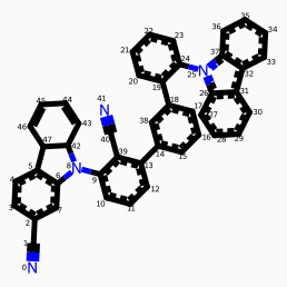 N#Cc1ccc2c(c1)N(c1cccc(-c3cccc(-c4ccccc4-n4c5ccccc5c5ccccc54)c3)c1C#N)C1C=CC=CC21